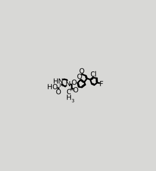 C[C@@H](Oc1ccc2c(-c3ccc(F)cc3Cl)cc(=O)oc2c1)C(=O)N1CCN[C@@H](C(=O)O)C1